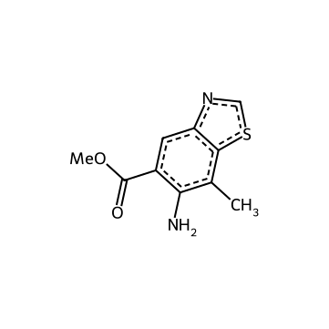 COC(=O)c1cc2ncsc2c(C)c1N